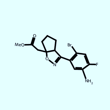 COC(=O)CC12CCCC1C(c1cc(N)c(F)cc1Br)=NO2